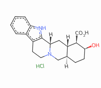 Cl.O=C(O)[C@@H]1[C@H]2C[C@H]3c4[nH]c5ccccc5c4CCN3C[C@@H]2CC[C@@H]1O